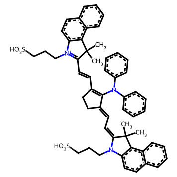 CC1(C)C(=CC=C2CCC(C=CC3=[N+](CCCS(=O)(=O)O)c4ccc5ccccc5c4C3(C)C)=C2N(c2ccccc2)c2ccccc2)N(CCCS(=O)(=O)O)c2ccc3ccccc3c21